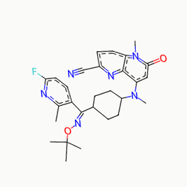 Cc1nc(F)ccc1/C(=N\OC(C)(C)C)C1CCC(N(C)c2cc(=O)n(C)c3ccc(C#N)nc23)CC1